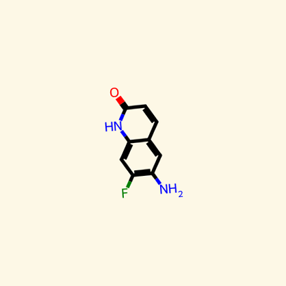 Nc1cc2ccc(=O)[nH]c2cc1F